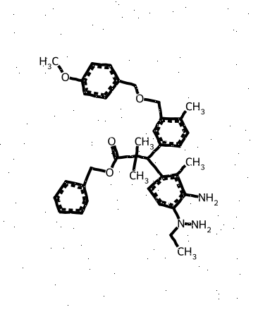 CCN(N)c1ccc(C(c2ccc(C)c(COCc3ccc(OC)cc3)c2)C(C)(C)C(=O)OCc2ccccc2)c(C)c1N